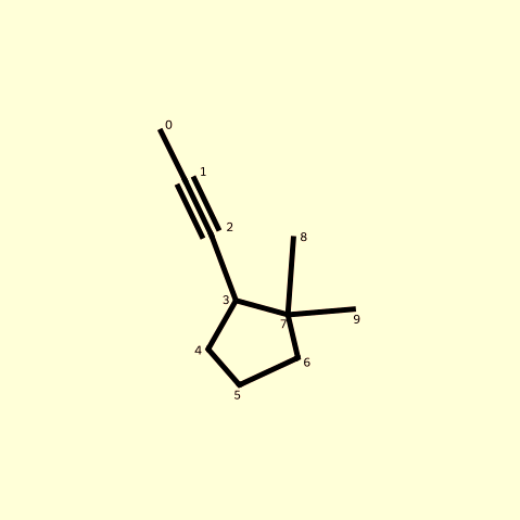 CC#CC1CCCC1(C)C